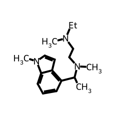 CCN(C)CCN(C)C(C)c1cccc2c1ccn2C